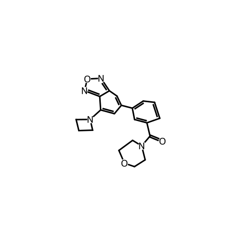 O=C(c1cccc(-c2cc(N3CCC3)c3nonc3c2)c1)N1CCOCC1